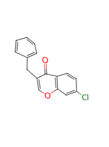 O=c1c(Cc2ccccc2)coc2cc(Cl)ccc12